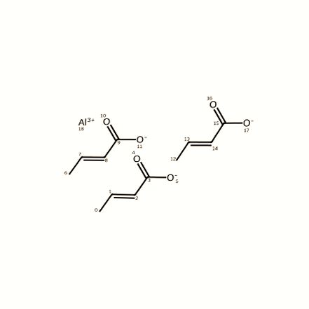 C/C=C/C(=O)[O-].C/C=C/C(=O)[O-].C/C=C/C(=O)[O-].[Al+3]